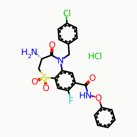 Cl.N[C@H]1CS(=O)(=O)c2cc(F)c(C(=O)NOc3ccccc3)cc2N(Cc2ccc(Cl)cc2)C1=O